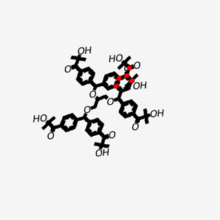 CC(C)(O)C(=O)c1ccc(C(OCC(COC(c2ccc(C(=O)C(C)(C)O)cc2)c2ccc(C(=O)C(C)(C)O)cc2)OC(c2ccc(C(=O)C(C)(C)O)cc2)c2ccc(C(=O)C(C)(C)O)cc2)c2ccc(C(=O)C(C)(C)O)cc2)cc1